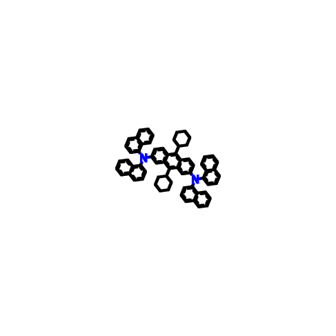 c1ccc2c(N(c3ccc4c(C5CCCCC5)c5ccc(N(c6cccc7ccccc67)c6cccc7ccccc67)cc5c(C5CCCCC5)c4c3)c3cccc4ccccc34)cccc2c1